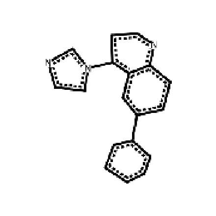 c1ccc(-c2ccc3nccc(-n4ccnc4)c3c2)cc1